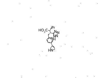 CC(C)[C@H](C(=O)O)[C@H](Cc1ccc(C2=CCNC2)cn1)c1nnn[nH]1